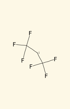 FC(F)(F)[C]C(F)(F)F